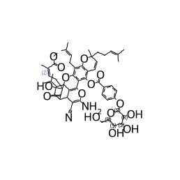 COC(=O)/C(C)=C\CC1(O)C(=O)C2CC(C(C)C)C13Oc1c(CC=C(C)C)c4c(c(OC(=O)c5ccc(O[C@@H]6O[C@H](CO)[C@@H](O)[C@H](O)[C@H]6O)cc5)c1C1=C3C2C(C#N)=C(N)O1)C=CC(C)(CCC=C(C)C)O4